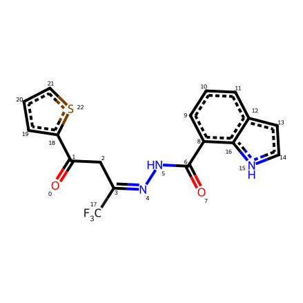 O=C(CC(=NNC(=O)c1cccc2cc[nH]c12)C(F)(F)F)c1cccs1